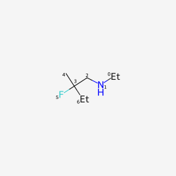 CCNCC(C)(F)CC